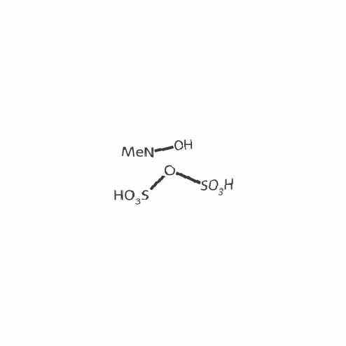 CNO.O=S(=O)(O)OS(=O)(=O)O